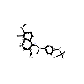 COc1ccc2/c(=N/N(C)c3ccc(OC(F)(F)F)cc3)c(C=O)c[nH]c2c1C